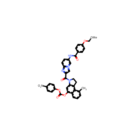 COCOc1ccc(C(=O)Nc2ccc3nc(C(=O)N4CCc5c4cc(OC(=O)Oc4ccc([N+](=O)[O-])cc4)c4cccc(C)c54)cn3c2)cc1